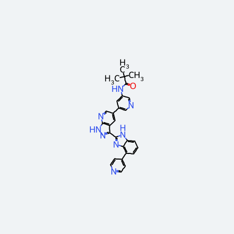 CC(C)(C)C(=O)Nc1cncc(-c2cnc3[nH]nc(-c4nc5c(-c6ccncc6)cccc5[nH]4)c3c2)c1